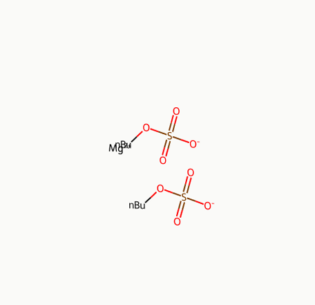 CCCCOS(=O)(=O)[O-].CCCCOS(=O)(=O)[O-].[Mg+2]